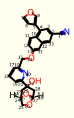 N#Cc1cc(-c2ccoc2)c2ccc(OCc3cccc([C@]4(O)C[C@H]5CO[C@@H](C4)O5)n3)cc2c1